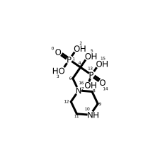 O=P(O)(O)C(O)(CN1CCNCC1)P(=O)(O)O